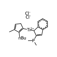 CCCCC1=[C]([Ti+2][CH]2C(P(C)C)=Cc3ccccc32)CC=C1C.[Cl-].[Cl-]